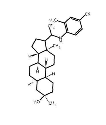 Cc1cc(C#N)ccc1NC(C1CC[C@H]2[C@@H]3CC[C@@H]4C[C@](C)(O)CC[C@@H]4[C@H]3CC[C@]12C)C(F)(F)F